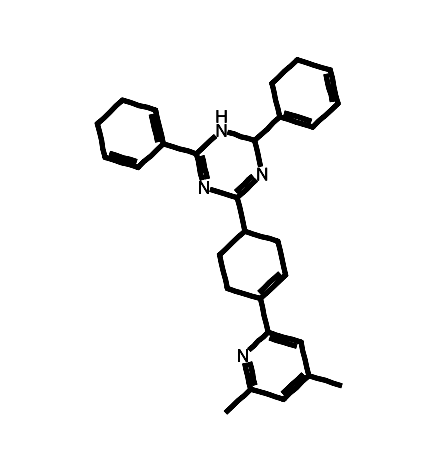 Cc1cc(C)nc(C2=CCC(C3=NC(C4=CC=CCC4)NC(C4=CCCC=C4)=N3)CC2)c1